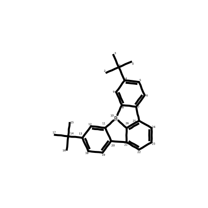 CC(C)(C)c1ccc2c(c1)B1c3cc(C(C)(C)C)ccc3-c3cccc-2c31